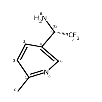 Cc1ccc([C@H](N)C(F)(F)F)cn1